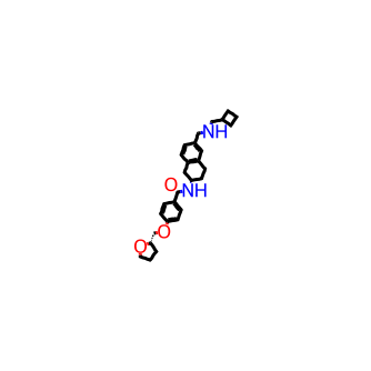 O=C(N[C@H]1CCc2cc(CNCC3CCC3)ccc2C1)c1ccc(OC[C@@H]2CCCO2)cc1